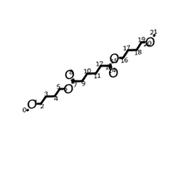 COCCCCOC(=O)CCCCC(=O)OCCCCOC